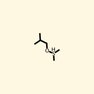 CC(C)CO[SH](C)C